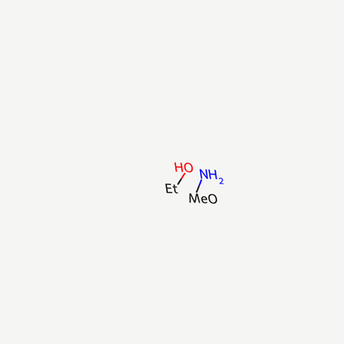 CCO.CON